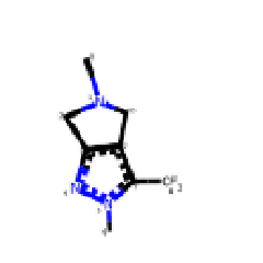 CN1Cc2nn(C)c(C(F)(F)F)c2C1